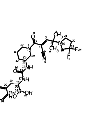 CC(C)(C=C(C#N)C(=O)N1CCC[C@H](NC(=O)N[C@@H](Cc2ccccc2)B(O)O)C1)N1CCC(F)(F)C1